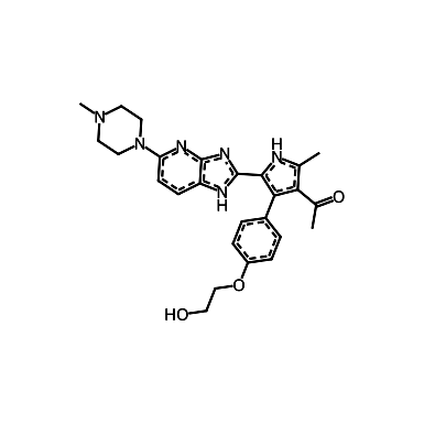 CC(=O)c1c(C)[nH]c(-c2nc3nc(N4CCN(C)CC4)ccc3[nH]2)c1-c1ccc(OCCO)cc1